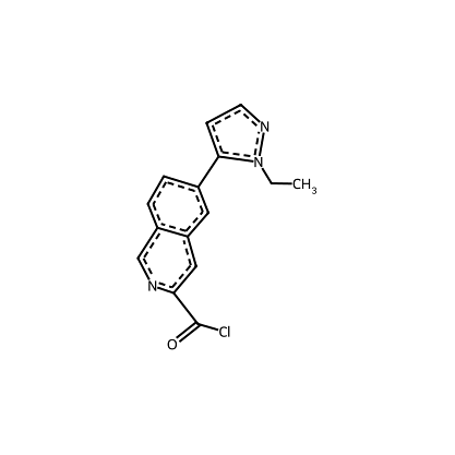 CCn1nccc1-c1ccc2cnc(C(=O)Cl)cc2c1